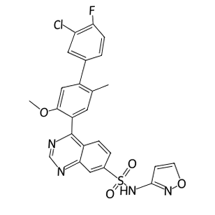 COc1cc(-c2ccc(F)c(Cl)c2)c(C)cc1-c1ncnc2cc(S(=O)(=O)Nc3ccon3)ccc12